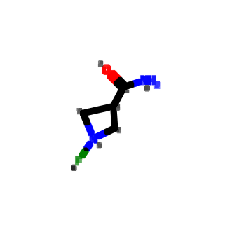 NC(=O)C1CN(F)C1